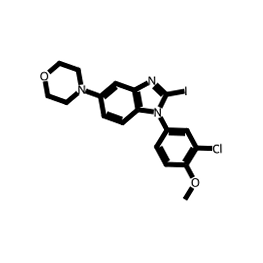 COc1ccc(-n2c(I)nc3cc(N4CCOCC4)ccc32)cc1Cl